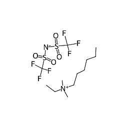 CCCCCC[N+](C)(C)CC.O=S(=O)([N-]S(=O)(=O)C(F)(F)F)C(F)(F)F